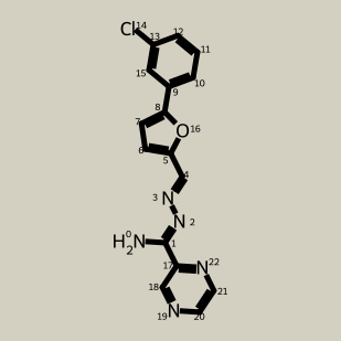 NC(=NN=Cc1ccc(-c2cccc(Cl)c2)o1)c1cnccn1